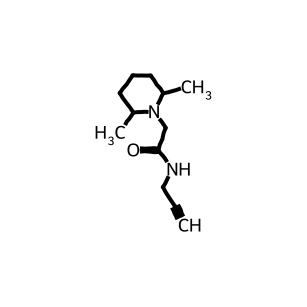 C#CCNC(=O)CN1C(C)CCCC1C